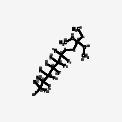 CC[Si](CCC(F)(F)C(F)(F)C(F)(F)C(F)(F)C(F)(F)C(F)(F)F)(OC)OC